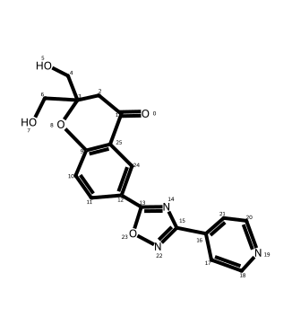 O=C1CC(CO)(CO)Oc2ccc(-c3nc(-c4ccncc4)no3)cc21